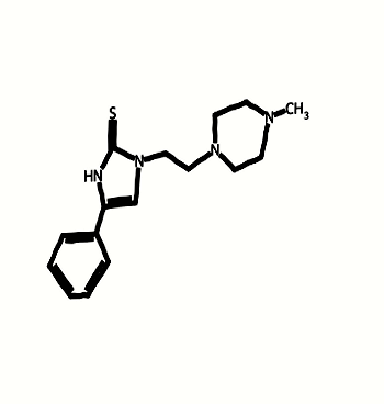 CN1CCN(CCn2cc(-c3ccccc3)[nH]c2=S)CC1